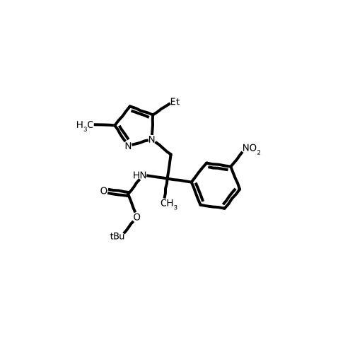 CCc1cc(C)nn1CC(C)(NC(=O)OC(C)(C)C)c1cccc([N+](=O)[O-])c1